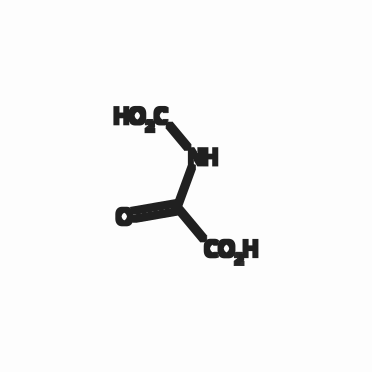 O=C(O)NC(=O)C(=O)O